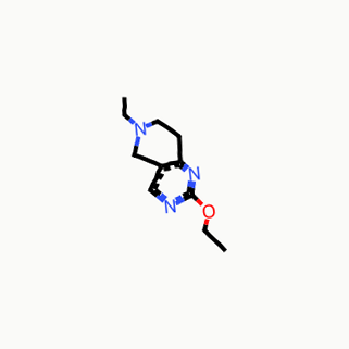 CCOc1ncc2c(n1)CCN(CC)C2